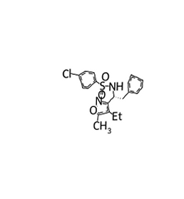 CCc1c([C@@H](Cc2ccccc2)NS(=O)(=O)c2ccc(Cl)cc2)noc1C